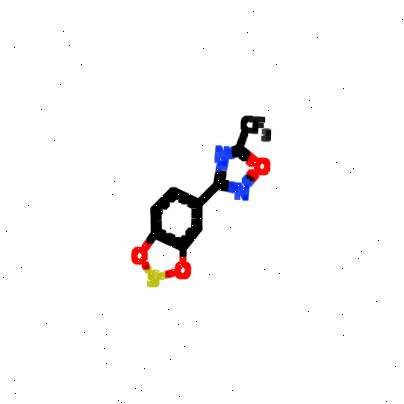 FC(F)(F)c1nc(-c2ccc3c(c2)OSO3)no1